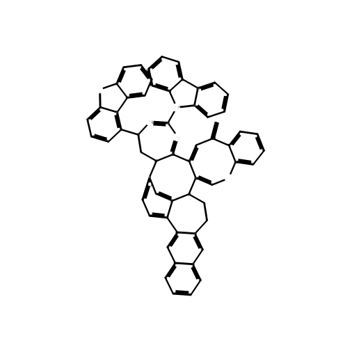 C=C1/C=C2/C3=NC(n4c5ccccc5c5ccccc54)=NC(c4cccc5sc6ccccc6c45)CC3c3ccc4c(c3)C(CCc3cc5ccccc5cc3-4)/C2=C/Oc2ccccc21